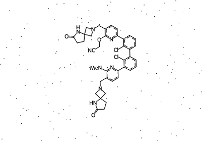 CNc1nc(-c2cccc(-c3cccc(-c4ccc(CN5CC6(CCC(=O)N6)C5)c(OCC#N)n4)c3Cl)c2Cl)ccc1CN1CC2(CCC(=O)N2)C1